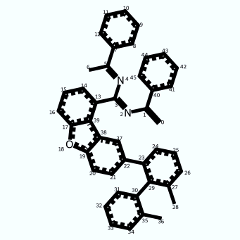 C=C(/N=C(\N=C(/C)c1ccccc1)c1cccc2oc3ccc(-c4cccc(C)c4-c4ccccc4C)cc3c12)c1ccccc1